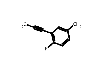 CC#Cc1cc(C)ccc1F